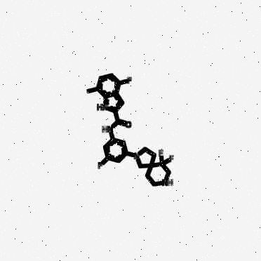 Cc1ccc(F)c2cc(C(=O)Nc3cc(F)cc(N4CCC5(CCNCC5(F)F)C4)c3)[nH]c12